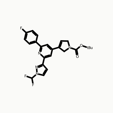 CC(C)(C)OC(=O)N1CC=C(c2cc(-c3ccc(F)cc3)nc(-c3ccn(C(F)F)n3)c2)C1